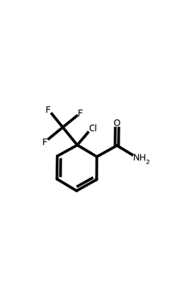 NC(=O)C1C=CC=CC1(Cl)C(F)(F)F